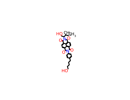 CCC(C)C(CO)N1C(=O)c2ccc3c4c(ccc(c24)C1=O)C(=O)N(c1ccc(CCCCCO)cc1)C3=O